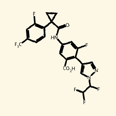 O=C(O)c1cc(NC(=O)C2(c3ccc(C(F)(F)F)cc3F)CC2)cc(F)c1-c1cnn(C(F)C(F)F)c1